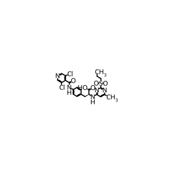 CCCS(=O)(=O)c1nc(C)cc(N[C@@H](Cc2ccc(NC(=O)c3c(Cl)cncc3Cl)cc2)C(=O)O)n1